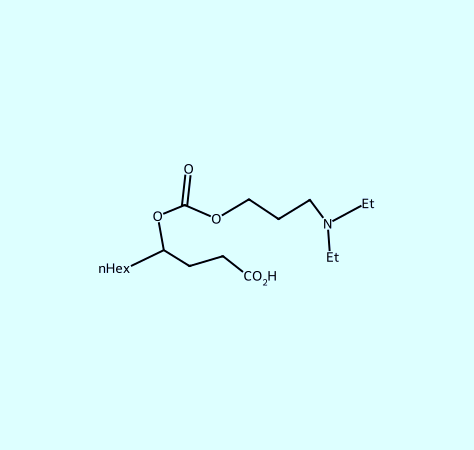 CCCCCCC(CCC(=O)O)OC(=O)OCCCN(CC)CC